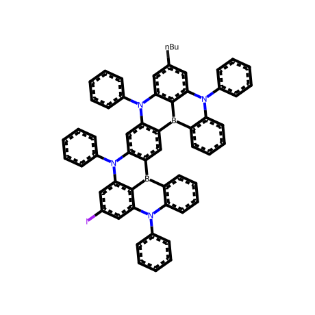 CCCCc1cc2c3c(c1)N(c1ccccc1)c1cc4c(cc1B3c1ccccc1N2c1ccccc1)B1c2ccccc2N(c2ccccc2)c2cc(I)cc(c21)N4c1ccccc1